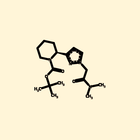 CN(C)C(=O)Cn1ccc([C@@H]2CCCCN2C(=O)OC(C)(C)C)n1